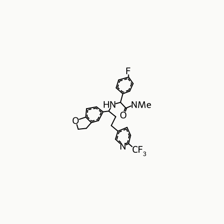 CNC(=O)C(NC(CCc1ccc(C(F)(F)F)nc1)c1ccc2c(c1)CCO2)c1ccc(F)cc1